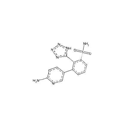 Nc1ccc(-c2cccc(S(N)(=O)=O)c2-c2nnn[nH]2)cn1